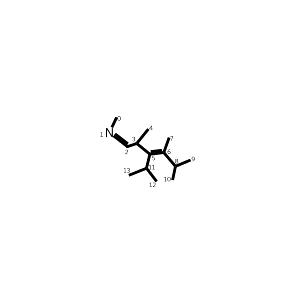 C/N=C\C(C)/C(=C(\C)C(C)C)C(C)C